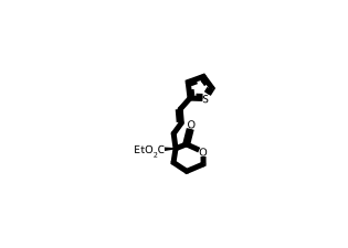 CCOC(=O)[C@]1(C/C=C/c2cccs2)CCCOC1=O